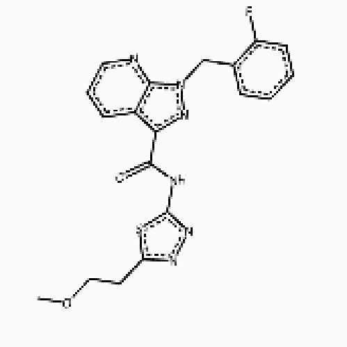 COCCc1nnc(NC(=O)c2nn(Cc3ccccc3F)c3ncccc23)s1